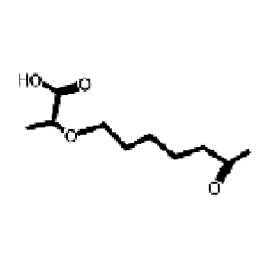 CC(=O)CCCCCOC(C)C(=O)O